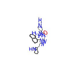 C[C@@H](NC(=O)C1(N)CCNCC1)c1nnc(CCc2c[nH]c3ccccc23)n1Cc1cccc2ccccc12